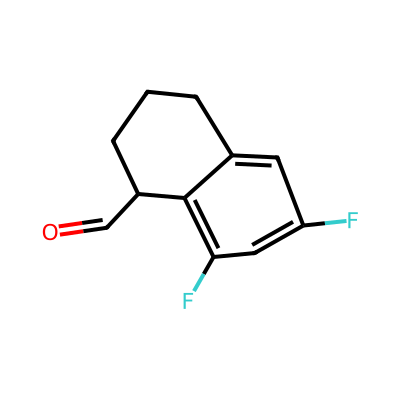 O=CC1CCCc2cc(F)cc(F)c21